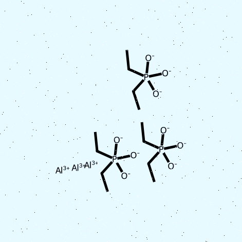 CCP([O-])([O-])([O-])CC.CCP([O-])([O-])([O-])CC.CCP([O-])([O-])([O-])CC.[Al+3].[Al+3].[Al+3]